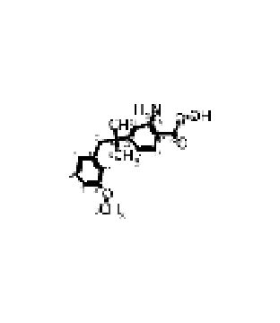 COc1cccc(CC(C)(C)c2ccc(C(=O)OO)c(N)c2)c1